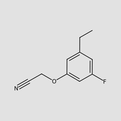 CCc1cc(F)cc(OCC#N)c1